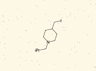 C[C](C)CN1CCC(CI)CC1